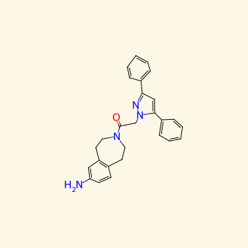 Nc1ccc2c(c1)CCN(C(=O)Cn1nc(-c3ccccc3)cc1-c1ccccc1)CC2